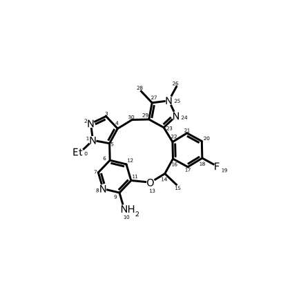 CCn1ncc2c1-c1cnc(N)c(c1)OC(C)c1cc(F)ccc1-c1nn(C)c(C)c1C2